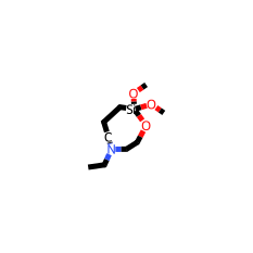 CCN1CCC[Si](OC)(OC)OCC1